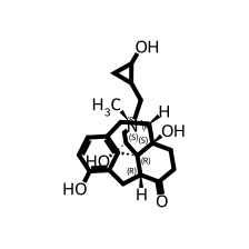 C[N@+]1(CC2CC2O)C[C@@H](O)[C@]23c4c5ccc(O)c4C[C@H]2C(=O)CC[C@@]3(O)[C@H]1C5